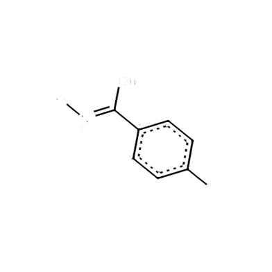 CC(C)(C)C(=[NH+][O-])c1ccc(Cl)cc1